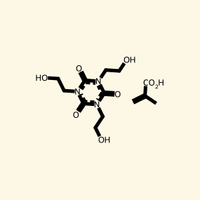 C=C(C)C(=O)O.O=c1n(CCO)c(=O)n(CCO)c(=O)n1CCO